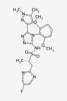 COc1cccc(OC)c1-n1c(NS(=O)(=O)[C@@H](C)Cc2ncc(F)cn2)nnc1-c1cc(C)n(C)n1